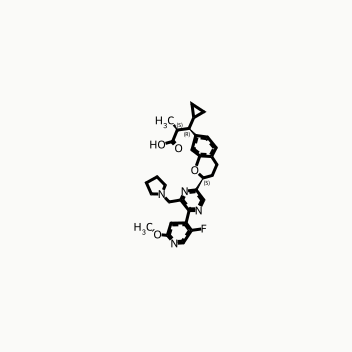 COc1cc(-c2ncc([C@@H]3CCc4ccc([C@H](C5CC5)[C@H](C)C(=O)O)cc4O3)nc2CN2CCCC2)c(F)cn1